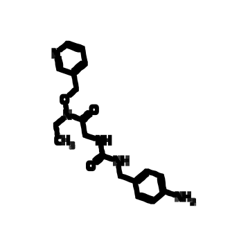 CCN(OCc1cccnc1)C(=O)CNC(=O)NCc1ccc(N)cc1